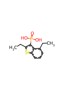 CCc1sc2cccc(CC)c2c1P(=O)(O)O